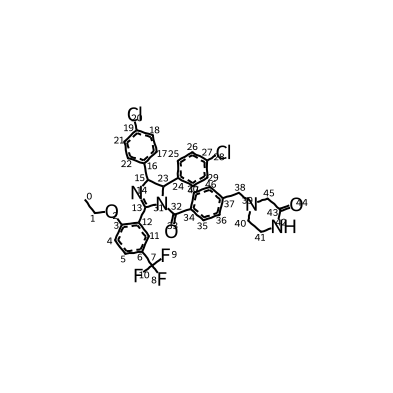 CCOc1ccc(C(F)(F)F)cc1C1=NC(c2ccc(Cl)cc2)C(c2ccc(Cl)cc2)N1C(=O)c1ccc(CN2CCNC(=O)C2)cc1